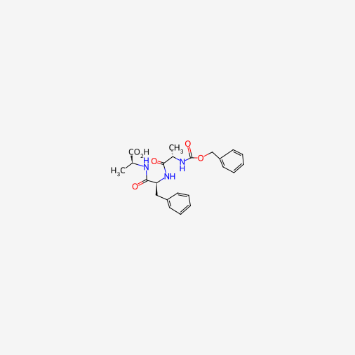 C[C@H](NC(=O)[C@H](Cc1ccccc1)NC(=O)[C@H](C)NC(=O)OCc1ccccc1)C(=O)O